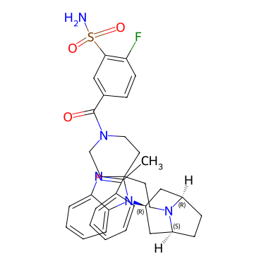 Cc1nc2ccccc2n1[C@H]1C[C@H]2CC[C@@H](C1)N2CCC1(c2ccccc2)CCN(C(=O)c2ccc(F)c(S(N)(=O)=O)c2)CC1